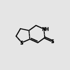 S=C1C=C2SCCC2CN1